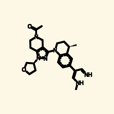 CN/C=C(\C=N)c1ccc2c(c1)[C@@H](C)CCN2c1nn([C@H]2CCOC2)c2c1CN(C(C)=O)CC2